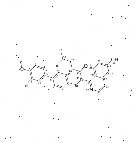 COc1ccc(-c2ccc(CN(C(=O)CCC(C)C)c3nccc4cc(O)ccc34)cc2)cc1C